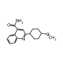 COC1CCC(c2cc(C(N)=O)c3ccccc3n2)CC1